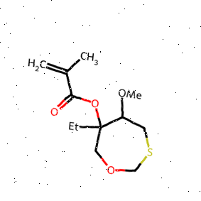 C=C(C)C(=O)OC1(CC)COCSCC1OC